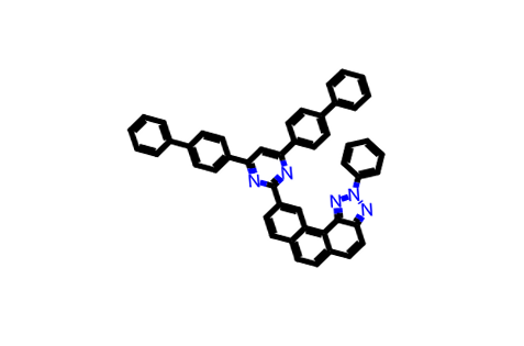 c1ccc(-c2ccc(-c3cc(-c4ccc(-c5ccccc5)cc4)nc(-c4ccc5ccc6ccc7nn(-c8ccccc8)nc7c6c5c4)n3)cc2)cc1